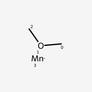 COC.[Mn]